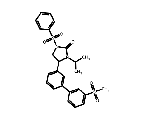 CC(C)N1C(=O)N(S(=O)(=O)c2ccccc2)CC1c1cccc(-c2cccc(S(C)(=O)=O)c2)c1